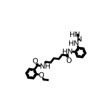 CCOc1ccccc1C(=O)NCCCCCC(=O)Nc1ccccc1NN=N